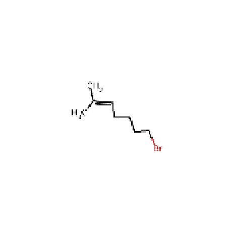 CC(C)=CCCCCBr